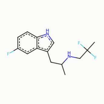 CC(Cc1c[nH]c2ccc(F)cc12)NCC(C)(F)F